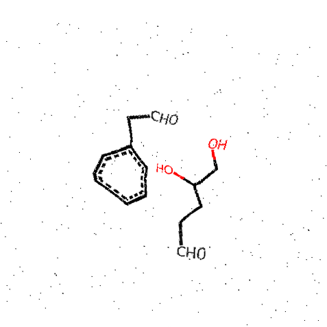 O=CCCC(O)CO.O=CCc1ccccc1